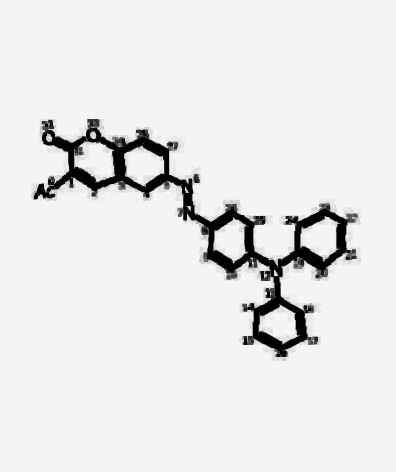 CC(=O)c1cc2cc(N=Nc3ccc(N(c4ccccc4)c4ccccc4)cc3)ccc2oc1=O